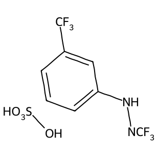 FC(F)(F)NNc1cccc(C(F)(F)F)c1.O=S(=O)(O)O